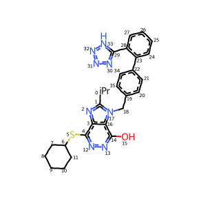 CC(C)c1nc2c(SC3CCCCC3)nnc(O)c2n1Cc1ccc(-c2ccccc2-c2nnn[nH]2)cc1